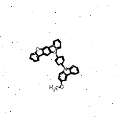 COc1ccc2c(c1)c1ccccc1n2-c1ccc(-n2c3ccccc3c3cc4oc5ccccc5c4cc32)cc1